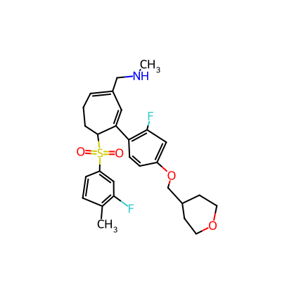 CNCC1=CCCC(S(=O)(=O)c2ccc(C)c(F)c2)C(c2ccc(OCC3CCOCC3)cc2F)=C1